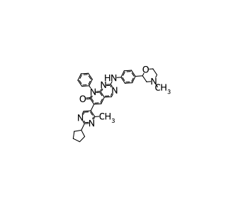 Cc1nc(C2CCCC2)ncc1-c1cc2cnc(Nc3ccc(C4CN(C)CCO4)cc3)nc2n(-c2ccccc2)c1=O